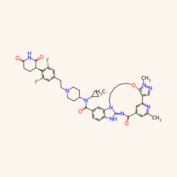 Cc1cc2cc(n1)-c1cnn(C)c1OCCC[C@@H](C)CN1/C(=N/C2=O)Nc2ccc(C(=O)N(C3CC3)C3CCN(CCc4cc(F)c([C@H]5CCC(=O)NC5=O)c(F)c4)CC3)cc21